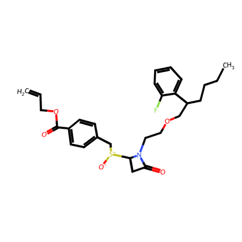 C=CCOC(=O)c1ccc(C[S+]([O-])C2CC(=O)N2CCOCC(CCCC)c2ccccc2F)cc1